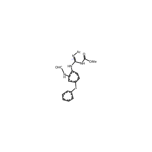 COC(=O)N/C(=N\C(C)=O)Nc1ccc(Sc2ccccc2)cc1NC=O